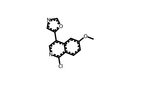 COc1ccc2c(Cl)ncc(-c3cnco3)c2c1